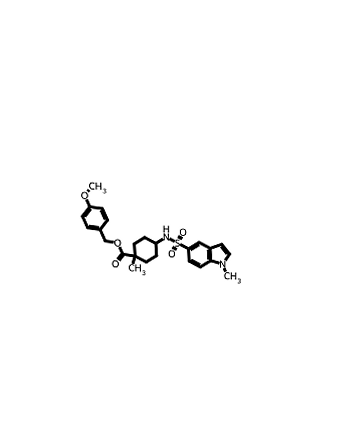 COc1ccc(COC(=O)C2(C)CCC(NS(=O)(=O)c3ccc4c(ccn4C)c3)CC2)cc1